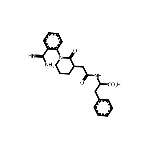 N=C(N)c1ccccc1N1CCCC(CC(=O)NC(Cc2ccccc2)C(=O)O)C1=O